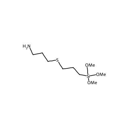 CO[Si](CCCSCCCN)(OC)OC